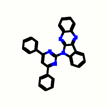 c1ccc(-c2cc(-c3ccccc3)nc(-n3c4ccccc4c4nc5ccccc5nc43)n2)cc1